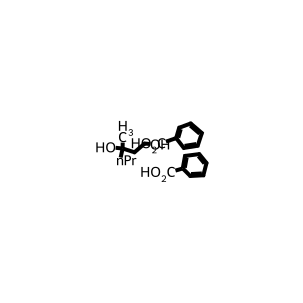 CCCC(C)(O)CCO.O=C(O)c1ccccc1.O=C(O)c1ccccc1